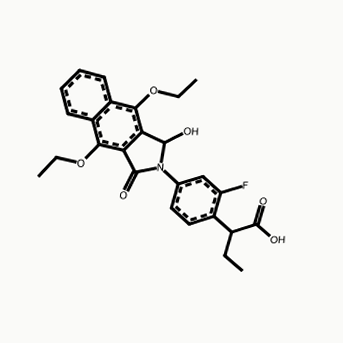 CCOc1c2c(c(OCC)c3ccccc13)C(O)N(c1ccc(C(CC)C(=O)O)c(F)c1)C2=O